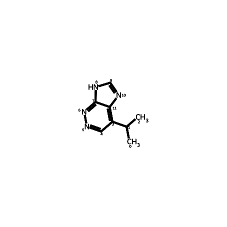 CC(C)c1cnnc2[nH]cnc12